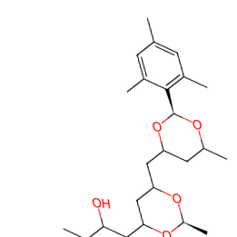 CCC(O)CC1CC(CC2CC(C)O[C@H](c3c(C)cc(C)cc3C)O2)O[C@@H](C)O1